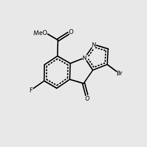 COC(=O)c1cc(F)cc2c1-n1ncc(Br)c1C2=O